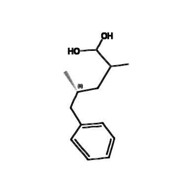 CC(C[C@@H](C)Cc1ccccc1)C(O)O